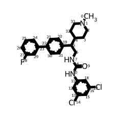 CN1CCC(C(CNC(=O)Nc2cc(Cl)cc(Cl)c2)c2ccc(-c3cccc(F)c3)cc2)CC1